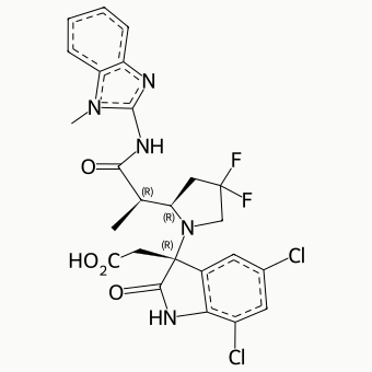 C[C@@H](C(=O)Nc1nc2ccccc2n1C)[C@H]1CC(F)(F)CN1[C@@]1(CC(=O)O)C(=O)Nc2c(Cl)cc(Cl)cc21